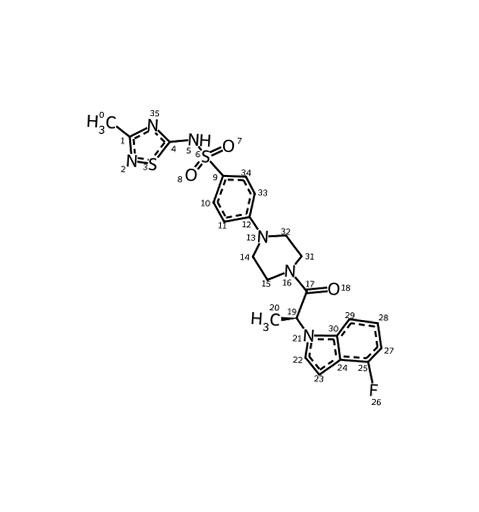 Cc1nsc(NS(=O)(=O)c2ccc(N3CCN(C(=O)[C@H](C)n4ccc5c(F)cccc54)CC3)cc2)n1